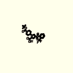 CC(C)(C)OC(=O)N1CCC(N2CC(S(=O)(=O)c3ccccc3C(F)(F)F)CC2C(=O)O)CC1